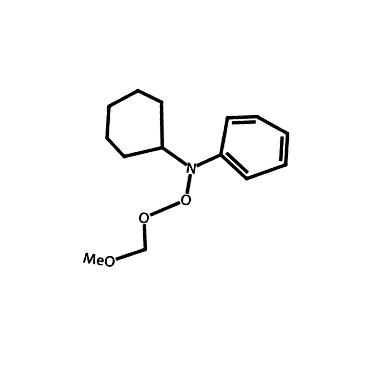 COCOON(c1ccccc1)C1CCCCC1